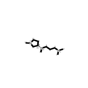 CN(C)CCCN(C)[C@H]1CCN(C)C1